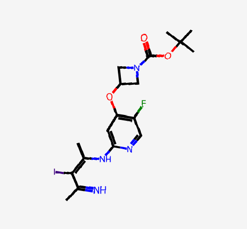 CC(=N)/C(I)=C(/C)Nc1cc(OC2CN(C(=O)OC(C)(C)C)C2)c(F)cn1